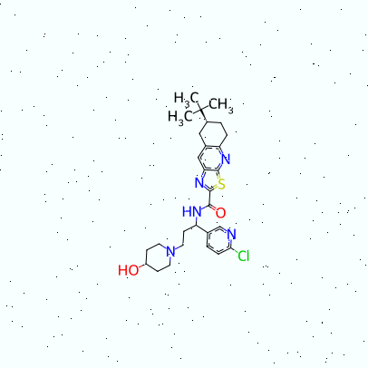 CC(C)(C)[C@H]1CCc2nc3sc(C(=O)NC(CCN4CCC(O)CC4)c4ccc(Cl)nc4)nc3cc2C1